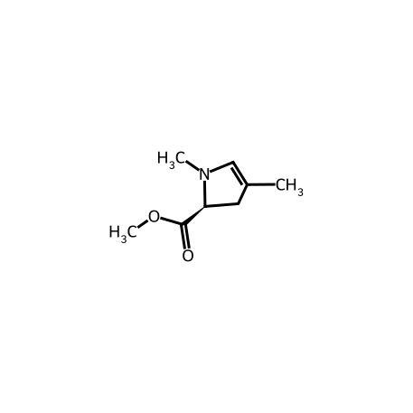 COC(=O)[C@@H]1CC(C)=CN1C